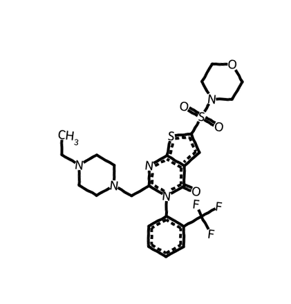 CCN1CCN(Cc2nc3sc(S(=O)(=O)N4CCOCC4)cc3c(=O)n2-c2ccccc2C(F)(F)F)CC1